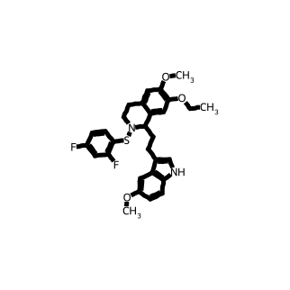 CCOc1cc2c(cc1OC)CCN(Sc1ccc(F)cc1F)C2CCc1c[nH]c2ccc(OC)cc12